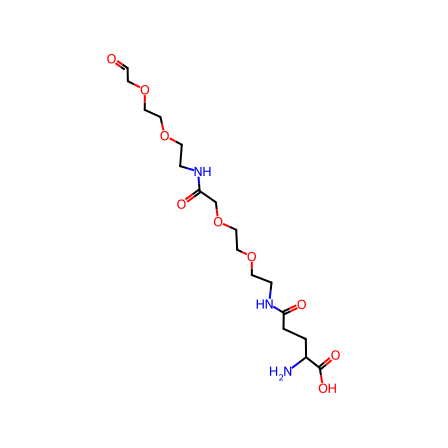 NC(CCC(=O)NCCOCCOCC(=O)NCCOCCOCC=O)C(=O)O